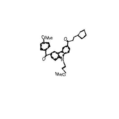 COCCCn1c2ccc(C(=O)CCC3CCCC3)cc2c2cc(C(=O)c3ccc(OC)cc3)ccc21